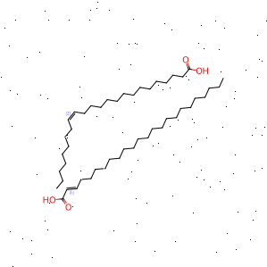 CCCCCCCC/C=C\CCCCCCCCCCCCCC(=O)O.CCCCCCCCCCCCCCCCCCCCC/C=C/C(=O)O